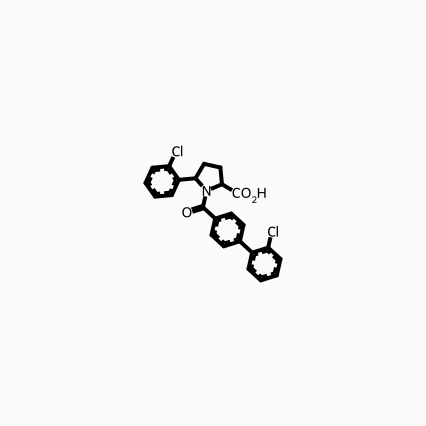 O=C(O)C1CCC(c2ccccc2Cl)N1C(=O)c1ccc(-c2ccccc2Cl)cc1